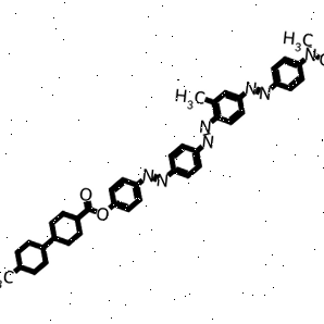 Cc1cc(N=Nc2ccc(N(C)C)cc2)ccc1N=Nc1ccc(N=Nc2ccc(OC(=O)C3CCC(C4CCC(C)CC4)CC3)cc2)cc1